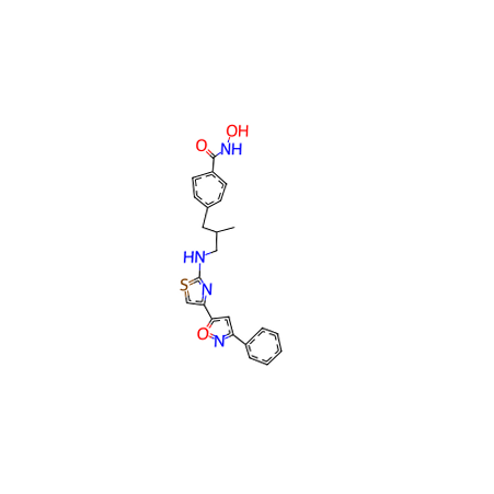 CC(CNc1nc(-c2cc(-c3ccccc3)no2)cs1)Cc1ccc(C(=O)NO)cc1